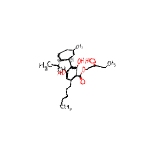 C=C(C)[C@@H]1CCC(C)=C[C@H]1c1c(O)cc(CCCCC)c(C(=O)OCC(O)CC)c1O